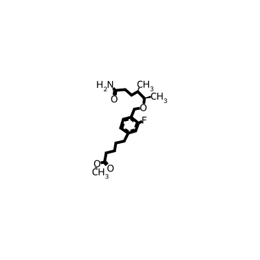 COC(=O)CCCCc1ccc(CO[C@H](C)[C@@H](C)CCC(N)=O)c(F)c1